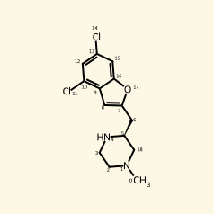 CN1CCN[C@@H](Cc2cc3c(Cl)cc(Cl)cc3o2)C1